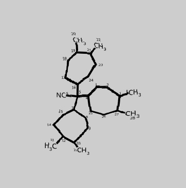 CC1CCC(C(C#N)(C2CCC(C)C(C)CC2)C2CCC(C)C(C)CC2)CCC1C